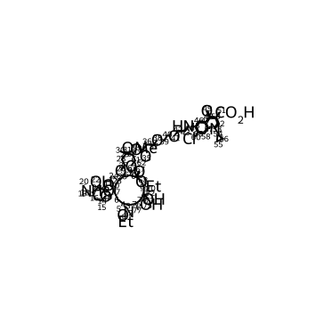 CCO/N=C1\[C@H](C)C[C@@](C)(O)[C@H](O[C@@H]2O[C@H](C)C[C@H](N(C)C)[C@H]2O)[C@@H](C)[C@H](OC2C[C@@](C)(OC)[C@@H](OC(=O)CCOCCOCCNc3cc4c(=O)c(C(=O)O)cn(C5CC5)c4cc3Cl)[C@H](C)O2)[C@@H](C)C(=O)O[C@H](CC)[C@@](C)(O)[C@H](O)[C@H]1C